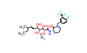 CCC(C)C=C[C@@H](O)[C@H](O)[C@@H](O)[C@@H](OC)C(=O)N[C@H]1CCCCN(Cc2ccc(F)c(C(F)(F)F)c2)C1=O